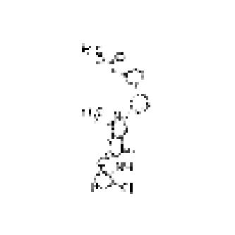 CCn1nc(-c2cccc(-c3cccc(CC(=O)OC)c3)c2)cc(NC(=O)Nc2c(Cl)cncc2Cl)c1=O